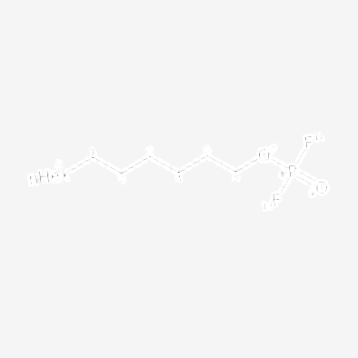 CCCCCCCCCCCCOP(=O)(F)F